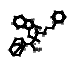 CC(Cc1c(Br)oc2ccccc12)(C(=O)NCCc1ccccc1)N(C(=O)O)C1C2CC3CC(C2)CC1C3